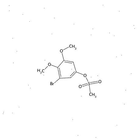 COc1cc(OS(C)(=O)=O)cc(Br)c1OC